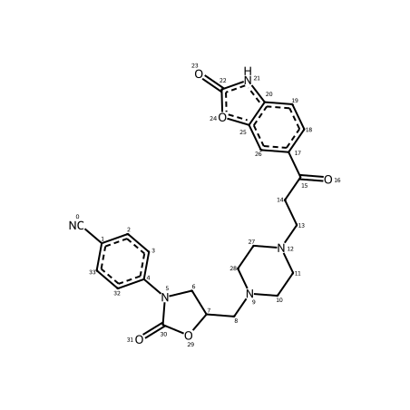 N#Cc1ccc(N2CC(CN3CCN(CCC(=O)c4ccc5[nH]c(=O)oc5c4)CC3)OC2=O)cc1